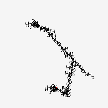 NCCCOCCOCCOCCCN(CCC(=O)NCCNC(=O)CCCC(=O)NCCCOCCOCCOCCCNC(=O)CCC(NC(=O)c1ccc(NCc2cnc3c(=O)[nH]c(N)nc3n2)cc1)C(=O)O)CCC(=O)NCCNC(=O)CCCC(=O)NCCCOCCOCCOCCCNC(=O)CCC(NC(=O)c1ccc(NCc2cnc3c(=O)[nH]c(N)nc3n2)cc1)C(=O)O